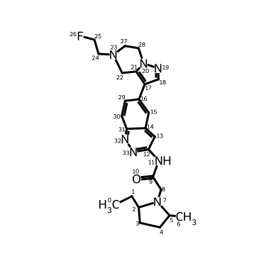 CCC1CCC(C)N1CC(=O)Nc1cc2cc(-c3cnn4c3CN(CCF)CC4)ccc2nn1